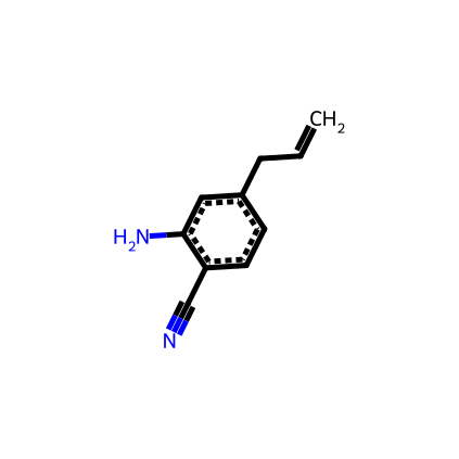 C=CCc1ccc(C#N)c(N)c1